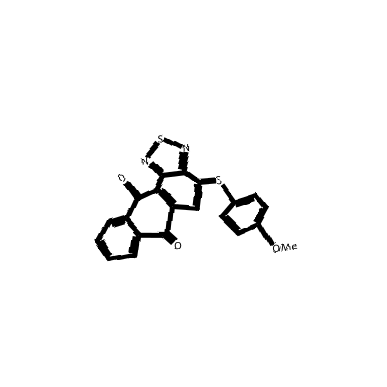 COc1ccc(Sc2cc3c(c4nsnc24)C(=O)c2ccccc2C3=O)cc1